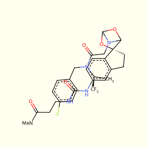 CNC(=O)CCNC(=O)Nc1ccc2c(c1)CC[C@@]21OC2OC1N2CC(=O)N(Cc1ccc(F)cc1)[C@@H](C)C(F)(F)F